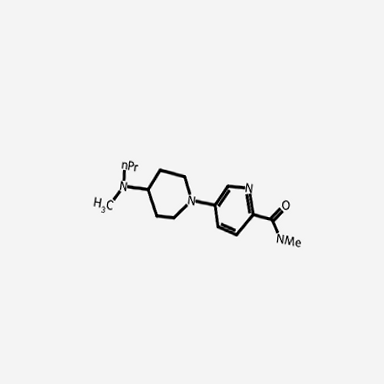 CCCN(C)C1CCN(c2ccc(C(=O)NC)nc2)CC1